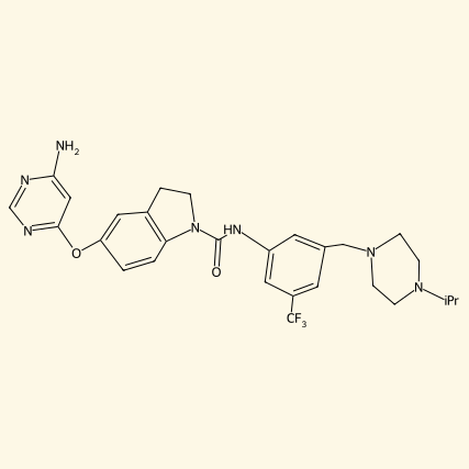 CC(C)N1CCN(Cc2cc(NC(=O)N3CCc4cc(Oc5cc(N)ncn5)ccc43)cc(C(F)(F)F)c2)CC1